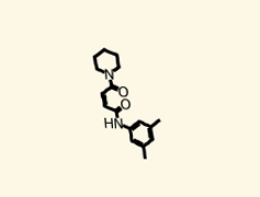 Cc1cc(C)cc(NC(=O)/C=C\C(=O)N2CCCCC2)c1